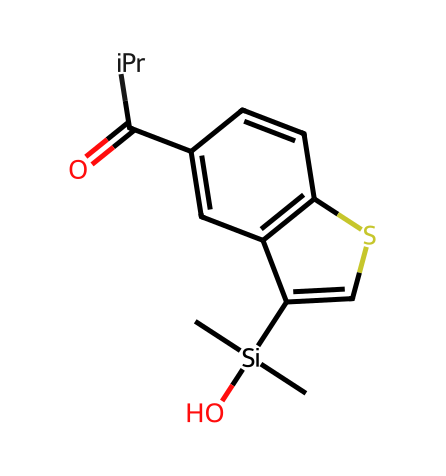 CC(C)C(=O)c1ccc2scc([Si](C)(C)O)c2c1